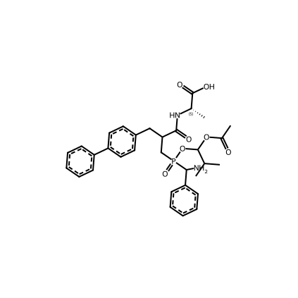 CC(=O)OC(OP(=O)(CC(Cc1ccc(-c2ccccc2)cc1)C(=O)N[C@@H](C)C(=O)O)C(N)c1ccccc1)C(C)C